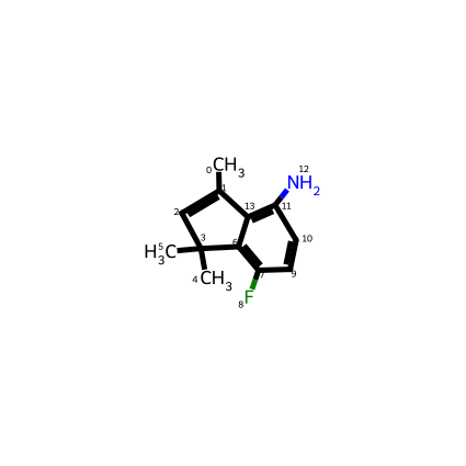 CC1=CC(C)(C)c2c(F)ccc(N)c21